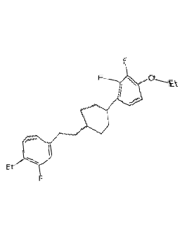 CCOc1ccc(C2CCC(CCc3ccc(CC)c(F)c3)CC2)c(F)c1F